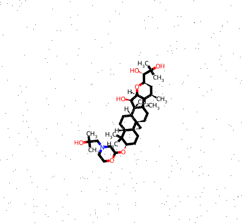 C[C@@H]1C[C@H]([C@H](O)C(C)(C)O)O[C@H]2C1[C@@]1(C)CC[C@@]34C[C@@]35CC[C@H](OC3CN(CC(C)(C)O)CCO3)C(C)(C)[C@@H]5CC[C@H]4[C@]1(C)[C@H]2O